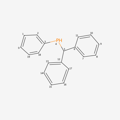 c1ccc(PC(c2ccccc2)c2ccccc2)cc1